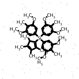 COc1cc([Si](C2=C(C)C(C)=C(C)C2C)(c2cc(OC)c(C)c(OC)c2)c2cc(OC)c(C)c(OC)c2)cc(OC)c1C